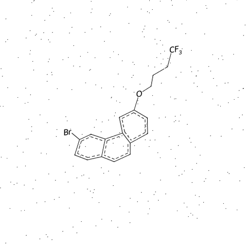 FC(F)(F)CCCOc1ccc2ccc3ccc(Br)cc3c2c1